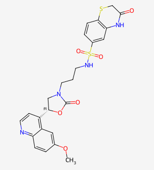 COc1ccc2nccc([C@@H]3CN(CCCNS(=O)(=O)c4ccc5c(c4)NC(=O)CS5)C(=O)O3)c2c1